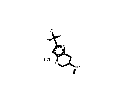 CNC1COc2cc(C(F)(F)F)sc2C1.Cl